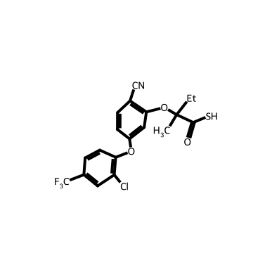 CCC(C)(Oc1cc(Oc2ccc(C(F)(F)F)cc2Cl)ccc1C#N)C(=O)S